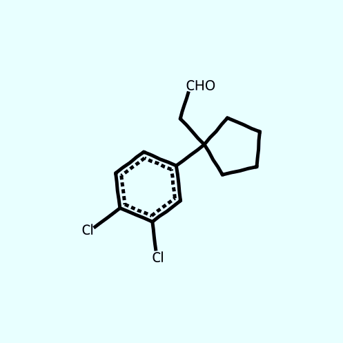 O=CCC1(c2ccc(Cl)c(Cl)c2)CCCC1